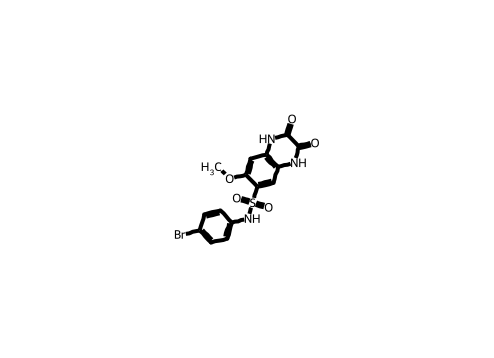 COc1cc2[nH]c(=O)c(=O)[nH]c2cc1S(=O)(=O)Nc1ccc(Br)cc1